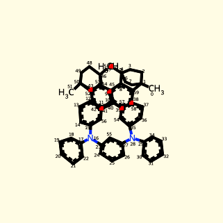 CC12CCC(C)(CC1)c1cc(-c3cccc(N(c4ccccc4)c4cccc(N(c5ccccc5)c5cccc(-c6ccc7c(c6)C6(C)CCC7(C)CC6)c5)c4)c3)ccc12